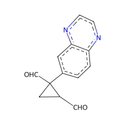 O=CC1CC1(C=O)c1ccc2nccnc2c1